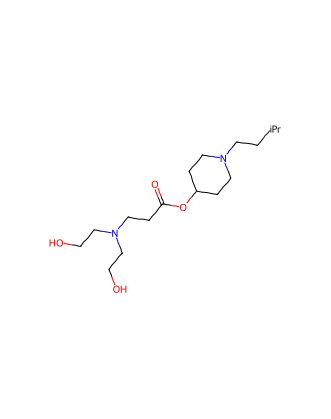 CC(C)CCN1CCC(OC(=O)CCN(CCO)CCO)CC1